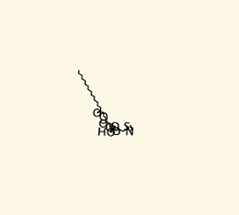 CCCCCCCCCCCCCCCC(=O)COCC(COP(=O)(O)OCCc1nccs1)OC